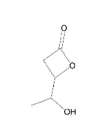 CC(O)C1CC(=O)O1